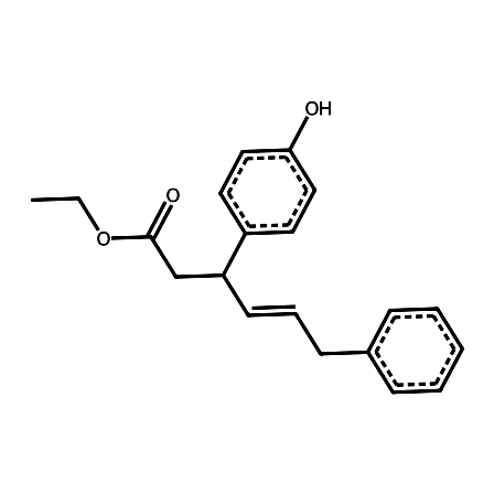 CCOC(=O)CC(/C=C/Cc1ccccc1)c1ccc(O)cc1